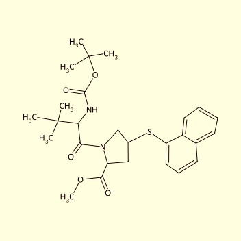 COC(=O)C1CC(Sc2cccc3ccccc23)CN1C(=O)C(NC(=O)OC(C)(C)C)C(C)(C)C